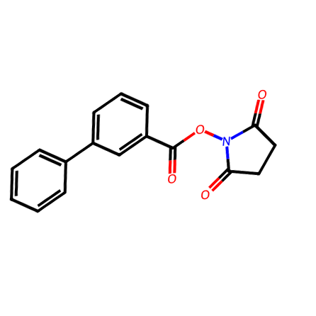 O=C(ON1C(=O)CCC1=O)c1cccc(-c2ccccc2)c1